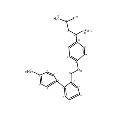 CCCCCCc1ccc(-c2ccccc2COc2ccc(C(CCCCC)CC(C)F)cc2)cc1